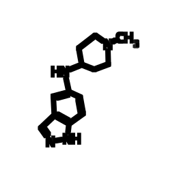 CN1CCC(Nc2ccc3[nH]ncc3c2)CC1